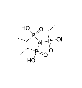 CC[P](=O)(O)[Al]([P](=O)(O)CC)[P](=O)(O)CC